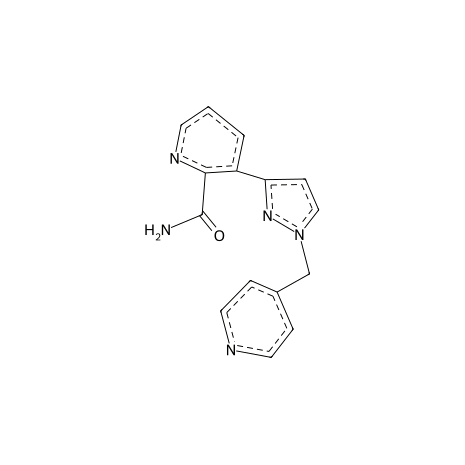 NC(=O)c1ncccc1-c1ccn(Cc2ccncc2)n1